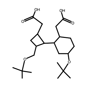 CC(C)(C)OCC1CC(CC(=O)O)C1C1CC(OC(C)(C)C)CCC1CC(=O)O